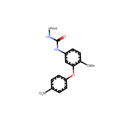 CCCCCNC(=O)Nc1ccc(OC)c(Oc2ccc([N+](=O)[O-])cc2)c1